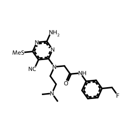 CSc1nc(N)nc(N(CCN(C)C)CC(=O)Nc2cccc(CF)c2)c1C#N